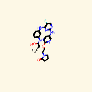 C=CC(O)Nc1cccc(Nc2nc(Nc3ccc(OCCN4CCCC4=O)nc3)ncc2F)c1